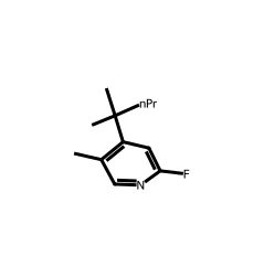 CCCC(C)(C)c1cc(F)ncc1C